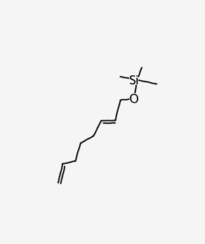 C=CCCCC=CCO[Si](C)(C)C